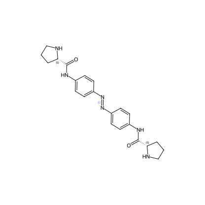 O=C(Nc1ccc(/N=N/c2ccc(NC(=O)[C@@H]3CCCN3)cc2)cc1)[C@@H]1CCCN1